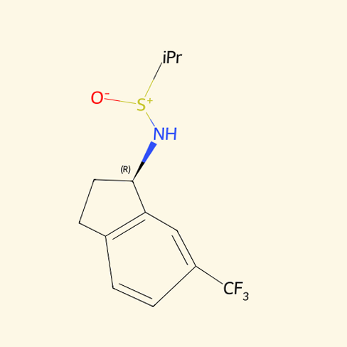 CC(C)[S+]([O-])N[C@@H]1CCc2ccc(C(F)(F)F)cc21